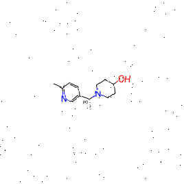 Cc1ccc([C@@H](C)N2CCC(O)CC2)cn1